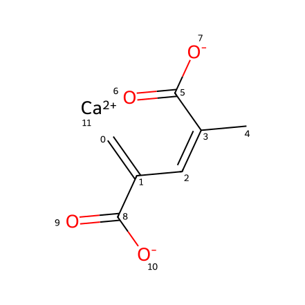 C=C(C=C(C)C(=O)[O-])C(=O)[O-].[Ca+2]